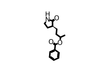 CC(CC[C@H]1CCNC1=O)OC(=O)c1ccccc1